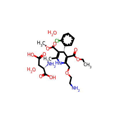 CCOC(=O)C1=C(COCCN)NC(C)=C(C(=O)OC)[C@@H]1c1ccccc1Cl.N[C@@H](CC(=O)O)C(=O)O.O.O